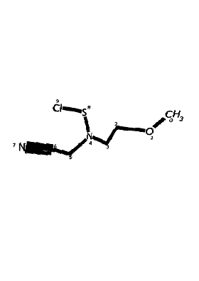 COCCN(CC#N)SCl